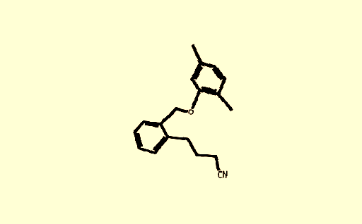 Cc1ccc(C)c(OCc2ccccc2CCCC#N)c1